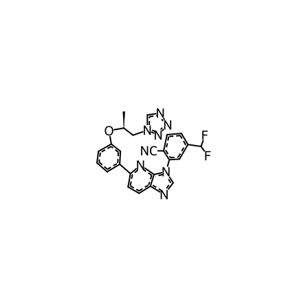 C[C@@H](Cn1cnnn1)Oc1cccc(-c2ccc3ncn(-c4cc(C(F)F)ccc4C#N)c3n2)c1